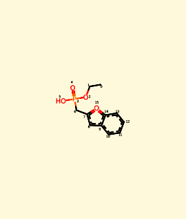 CCOP(=O)(O)Cc1cc2ccccc2o1